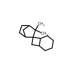 CC1(C)C2CCC(C2)C12CC1CCCCC12